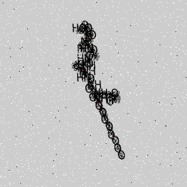 COCCOCCOCCOCCOCCOCCOCCOCCNC(=O)[C@H](CCC(=O)NCC(=O)NCC(=O)N[C@@H](Cc1ccccc1)C(=O)NCC(=O)NCO[C@@H](C(=O)NCc1c2c(nc3cc(F)c(C)cc13)-c1cc3c(c(=O)n1C2)COC(=O)[C@]3(O)CC1CC1)C1CC1)NC(=O)CCCCCN1C(=O)C=CC1=O